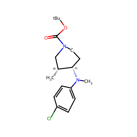 C[C@@H]1CN(C(=O)OC(C)(C)C)CC[C@@H]1N(C)c1ccc(Cl)cc1